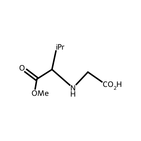 COC(=O)C(NCC(=O)O)C(C)C